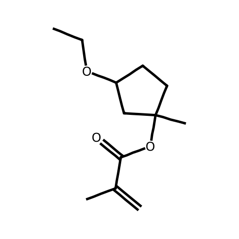 C=C(C)C(=O)OC1(C)CCC(OCC)C1